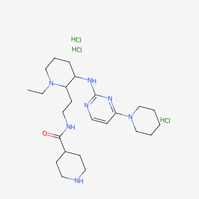 CCN1CCCC(Nc2nccc(N3CCCCC3)n2)C1CCNC(=O)C1CCNCC1.Cl.Cl.Cl